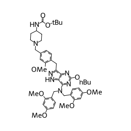 CCCCOc1nc(N(Cc2ccc(OC)cc2OC)Cc2ccc(OC)cc2OC)c2[nH]nc(Cc3ccc(CN4CCC(NC(=O)OC(C)(C)C)CC4)cc3OC)c2n1